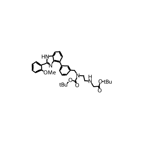 COc1ccccc1-c1nc2c(-c3cccc(CN(CCNCC(=O)OC(C)(C)C)C(=O)OC(C)(C)C)c3)cccc2[nH]1